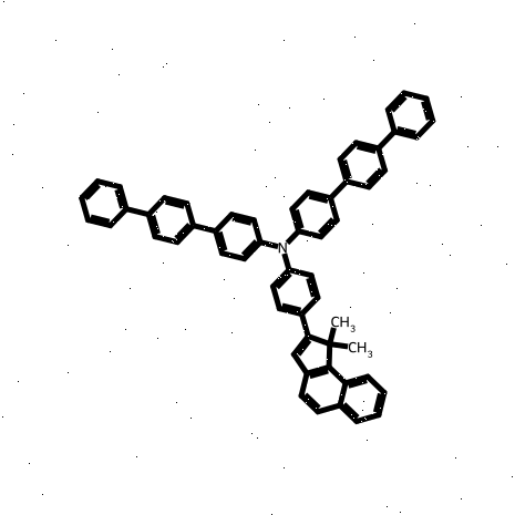 CC1(C)C(c2ccc(N(c3ccc(-c4ccc(-c5ccccc5)cc4)cc3)c3ccc(-c4ccc(-c5ccccc5)cc4)cc3)cc2)=Cc2ccc3ccccc3c21